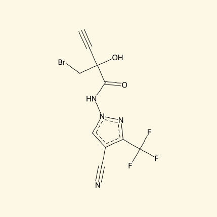 C#CC(O)(CBr)C(=O)Nn1cc(C#N)c(C(F)(F)F)n1